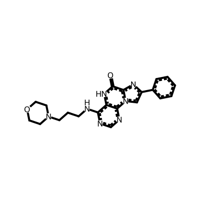 O=c1[nH]c2c(NCCCN3CCOCC3)ncnc2n2cc(-c3ccccc3)nc12